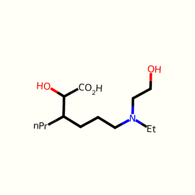 CCCC(CCCN(CC)CCO)C(O)C(=O)O